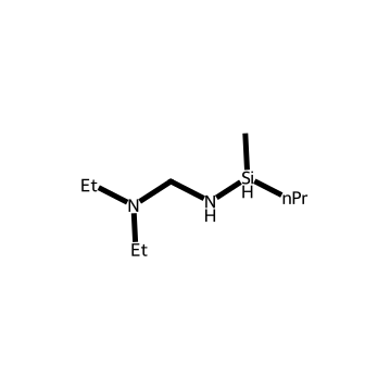 CCC[SiH](C)NCN(CC)CC